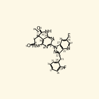 CC[C@@]12CC(=O)Nc3nc(-n4nc(Cc5ccccc5F)c5ncc(F)cc54)nc(c31)NC2=O